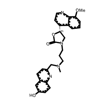 COc1cccc2c([C@@H]3CN(CCCN(C)Cc4ccc5cc(O)ccc5n4)C(=O)O3)ccnc12